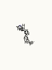 CC(=N)/C=C\c1ncc(-c2cc(N3CCO[C@H](CN[S+](C)[O-])C3)ncn2)[nH]1